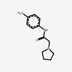 Cc1ccc(NC(=O)CN2CCCC2)cc1